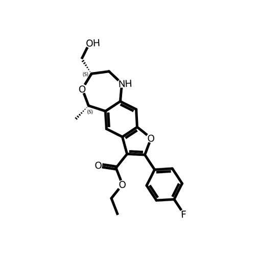 CCOC(=O)c1c(-c2ccc(F)cc2)oc2cc3c(cc12)[C@H](C)O[C@H](CO)CN3